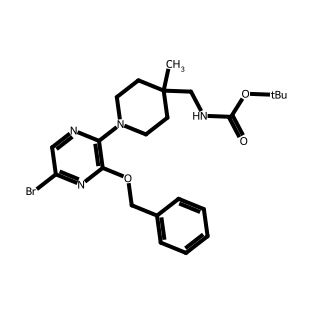 CC1(CNC(=O)OC(C)(C)C)CCN(c2ncc(Br)nc2OCc2ccccc2)CC1